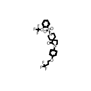 O=C1N(c2ccc(OCCC(F)(F)F)cc2)CCC12CCN(S(=O)(=O)c1ccccc1OC(F)(F)F)CC2